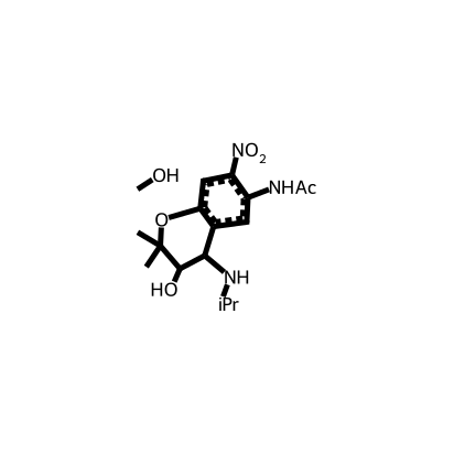 CC(=O)Nc1cc2c(cc1[N+](=O)[O-])OC(C)(C)C(O)C2NC(C)C.CO